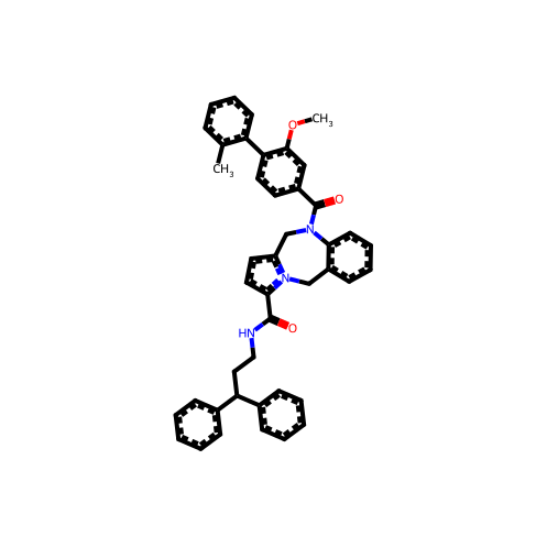 COc1cc(C(=O)N2Cc3ccc(C(=O)NCCC(c4ccccc4)c4ccccc4)n3Cc3ccccc32)ccc1-c1ccccc1C